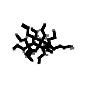 C=CCCC(C(OCC)(/C(OCC)=C(/CCCN)OCC)[Si](OCC)(OCC)OCC)[Si](OCC)(OCC)OCC